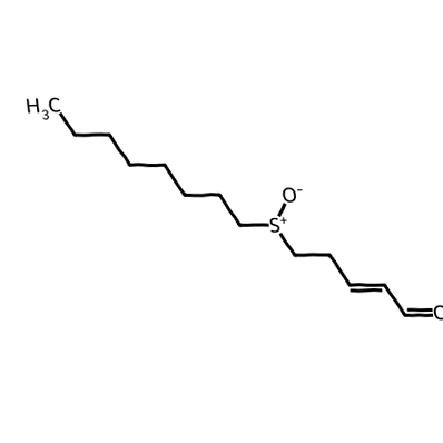 C=CC=CCC[S+]([O-])CCCCCCCC